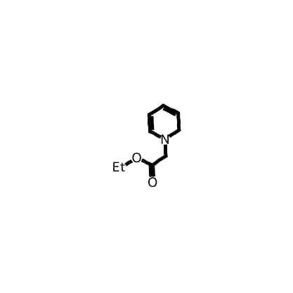 CCOC(=O)CN1C=CC=CC1